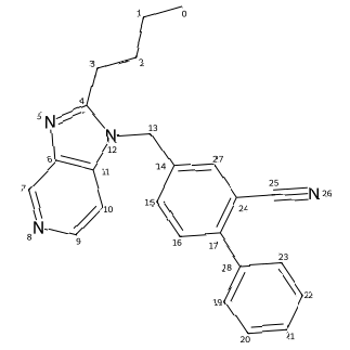 CCCCc1nc2cnccc2n1Cc1ccc(-c2ccccc2)c(C#N)c1